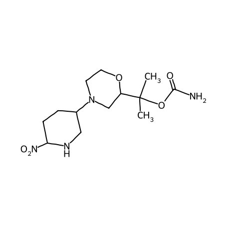 CC(C)(OC(N)=O)C1CN(C2CCC([N+](=O)[O-])NC2)CCO1